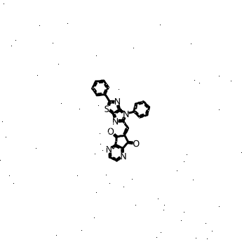 O=C1C(=Cc2nc3sc(-c4ccccc4)nc3n2-c2ccccc2)C(=O)c2nccnc21